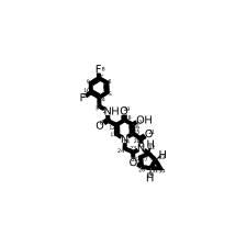 O=C(NCc1ccc(F)cc1F)c1cn2c(c(O)c1=O)C(=O)N1C(C2)OC2C[C@H]1[C@H]1C[C@@H]21